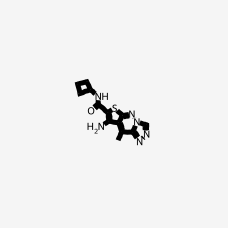 Cc1c2c(N)c(C(=O)NC3CCC3)sc2nn2cnnc12